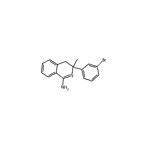 CC1(c2cccc(Br)c2)Cc2ccccc2C(N)=N1